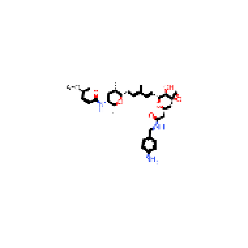 CC(=O)O[C@@H](C)/C=C\C(=O)N[C@@H]1C[C@H](C)[C@H](C/C=C(C)/C=C/[C@H]2O[C@H](CC(=O)NCc3ccc(N)cc3)C[C@@]3(CO3)[C@@H]2O)O[C@@H]1C